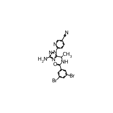 CC(NC(=O)c1cc(Br)cc(Br)c1)c1nc(N)nn1-c1ccc(C#N)cn1